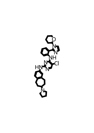 Clc1cnc(Nc2ccc3c(c2)CCC(N2CCCC2)CC3)nc1Nc1ccccc1-c1nccn1C1CCCCO1